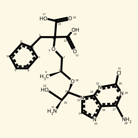 C[C@@H](COC(Cc1ccccc1)(C(=O)O)C(=O)O)O[C@H]([C@@H](N)O)n1cnc2c(N)nc(Cl)nc21